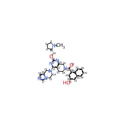 CN1CCC[C@H]1COc1nc2c(c(N3CCn4cncc4C3)n1)CCN(C(=O)c1cc(O)cc3ccccc13)C2